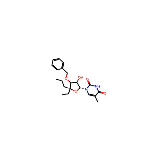 CCC[C@]1(CC)O[C@@H](n2cc(C)c(=O)[nH]c2=O)[C@H](O)C1OCc1ccccc1